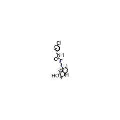 C/C(=C\C=C\[C@@H]1[C@H]2[C@H](C)[C@@H](O)[C@H](C)C[C@@H]2C=C[C@@H]1C)C(=O)NCc1ccc(Cl)cc1